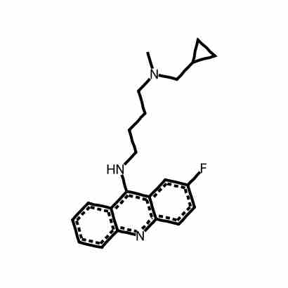 CN(CCCCNc1c2ccccc2nc2ccc(F)cc12)CC1CC1